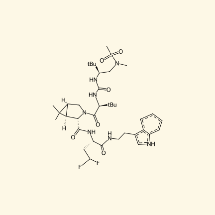 CN(C[C@@H](NC(=O)N[C@H](C(=O)N1C[C@H]2[C@@H]([C@H]1C(=O)N[C@@H](CC(F)F)C(=O)NCCc1c[nH]c3ccccc13)C2(C)C)C(C)(C)C)C(C)(C)C)S(C)(=O)=O